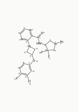 CC(=O)N1CC(NC(=O)c2nccnc2N2CC(Oc3ccc(F)c(Cl)c3)C2)C(F)(F)C1